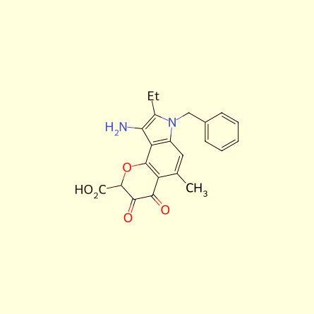 CCc1c(N)c2c3c(c(C)cc2n1Cc1ccccc1)C(=O)C(=O)C(C(=O)O)O3